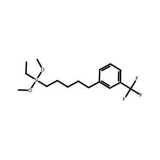 CC[Si](CCCCCc1cccc(C(F)(F)F)c1)(OC)OC